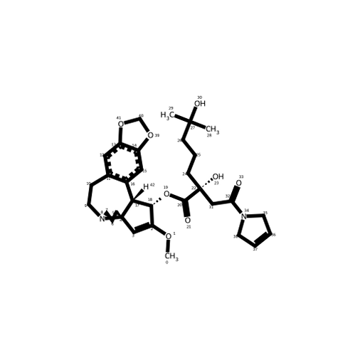 COC1=C[C@]23CCCN2CCc2cc4c(cc2[C@@H]3[C@@H]1OC(=O)[C@@](O)(CCCC(C)(C)O)CC(=O)N1CC=CC1)OCO4